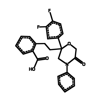 O=C(O)c1ccccc1CCC1(c2ccc(F)c(F)c2)CN(c2ccccc2)C(=O)CO1